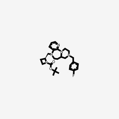 CC(C)(C)OC(=O)N1CC[C@H]1CN1CCC2CN(Cc3ccc(F)cc3)CCN2c2ncccc21